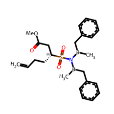 C=CCC[C@H](CC(=O)OC)S(=O)(=O)N(B(C)Cc1ccccc1)B(C)Cc1ccccc1